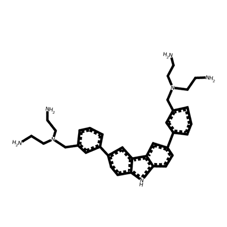 NCCN(CCN)Cc1cccc(-c2ccc3[nH]c4ccc(-c5cccc(CN(CCN)CCN)c5)cc4c3c2)c1